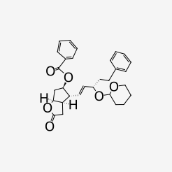 O=C1C[C@@H]2[C@@H](/C=C/[C@H](CCc3ccccc3)OC3CCCCO3)[C@H](OC(=O)c3ccccc3)C[C@@H]2O1